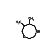 CC1CNCCOCC1C